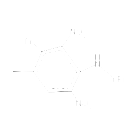 CCCNc1c([N+](=O)[O-])cc(C)c(C(C)C)c1[N+](=O)[O-]